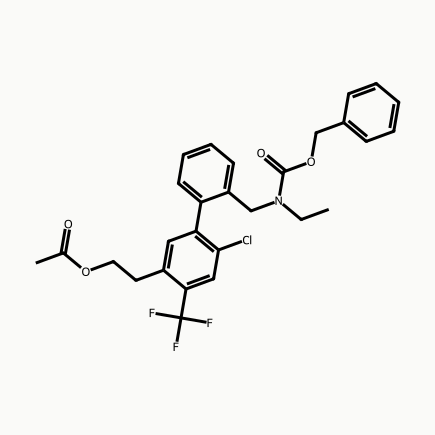 CCN(Cc1ccccc1-c1cc(CCOC(C)=O)c(C(F)(F)F)cc1Cl)C(=O)OCc1ccccc1